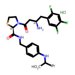 CC(C)C(Nc1ccc(CNC(=O)[C@H]2SCCN2C(=O)C[C@H](N)Cc2cc(F)c(F)cc2F)cc1)C(=O)O.Cl